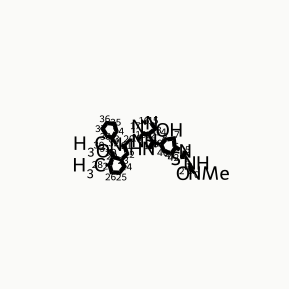 CNC(=O)Nc1nc2ccc(C(=N)c3c(O)ncnc3NCc3cc4cccc(C)c4c(=O)n3-c3ccccc3C)cc2s1